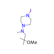 COC(C)(C)CN(C)N1CCN(I)CC1